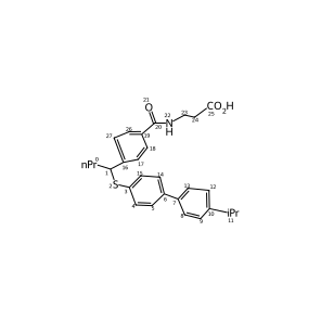 CCCC(Sc1ccc(-c2ccc(C(C)C)cc2)cc1)c1ccc(C(=O)NCCC(=O)O)cc1